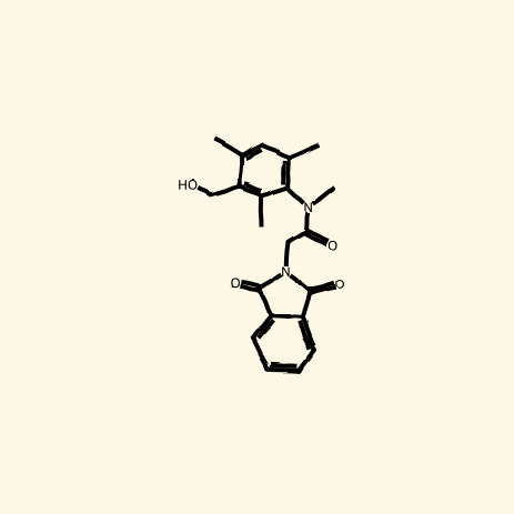 Cc1cc(C)c(N(C)C(=O)CN2C(=O)c3ccccc3C2=O)c(C)c1CO